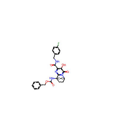 O=C(NC12CCC(CC1)n1c2nc(C(=O)NCc2ccc(F)cc2)c(O)c1=O)OCc1ccccc1